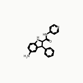 Nc1ccc2c(c1)C(c1ccccc1)C(C(=O)Nc1ccncc1)N2